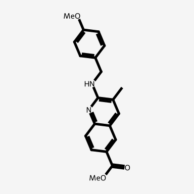 COC(=O)c1ccc2nc(NCc3ccc(OC)cc3)c(C)cc2c1